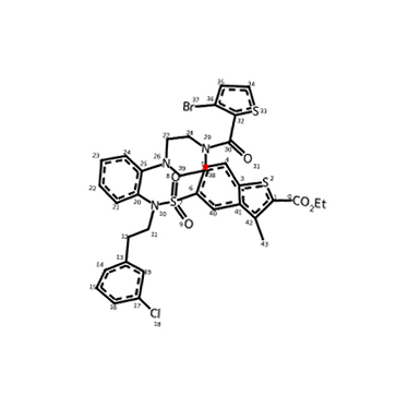 CCOC(=O)c1sc2ccc(S(=O)(=O)N(CCc3cccc(Cl)c3)c3ccccc3N3CCN(C(=O)c4sccc4Br)CC3)cc2c1C